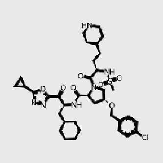 CS(=O)(=O)N[C@H](CCC1CCNCC1)C(=O)N1C[C@H](OCc2ccc(Cl)cc2)C[C@H]1C(=O)N[C@@H](CC1CCCCC1)C(=O)c1nnc(C2CC2)o1